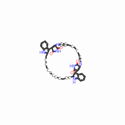 O=C1NC(=O)C2=C1c1c([nH]c3ccccc13)CCCCCCCCCCCCc1[nH]c3ccccc3c1C1=C(C(=O)NC1=O)N1CCC(CCCC3CCN2CC3)CC1